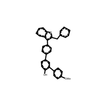 COc1ccc(-c2cc(-c3ccc(-c4c(Cc5ccccc5)sc5ccccc45)cc3)ccc2O)cc1